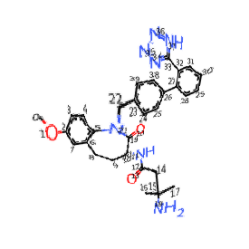 COc1ccc2c(c1)CC[C@@H](NC(=O)CC(C)(C)N)C(=O)N2Cc1ccc(-c2ccccc2-c2nnn[nH]2)cc1